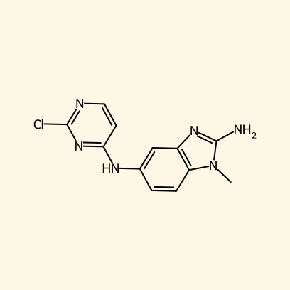 Cn1c(N)nc2cc(Nc3ccnc(Cl)n3)ccc21